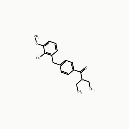 CCN(CC)C(=O)c1ccc(Cc2cccc(OC)c2O)cc1